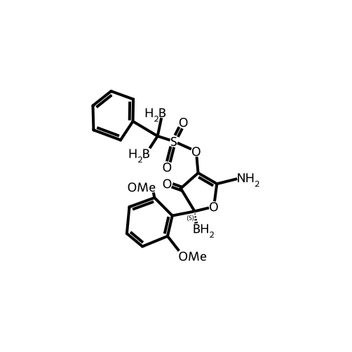 BC(B)(c1ccccc1)S(=O)(=O)OC1=C(N)O[C@@](B)(c2c(OC)cccc2OC)C1=O